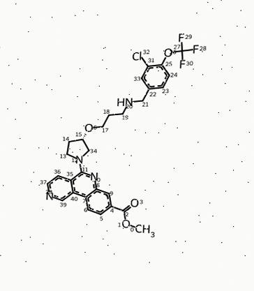 COC(=O)c1ccc2c(c1)nc(N1CC[C@H](OCCCNCc3ccc(OC(F)(F)F)c(Cl)c3)C1)c1ccncc12